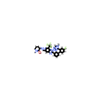 CN1CCC[C@H](NCc2cc(C(F)(F)F)c3[nH]c(-c4cccc(-c5ccc(F)cc5-c5nncn5C)c4)nc3c2)C1=O